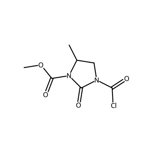 COC(=O)N1C(=O)N(C(=O)Cl)CC1C